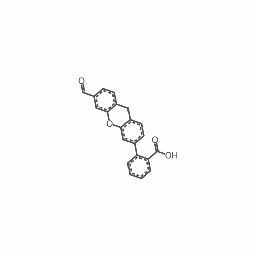 O=Cc1ccc2c(c1)Oc1cc(-c3ccccc3C(=O)O)ccc1C2